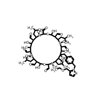 CCOCc1ccnn1Cc1ccc(CC2(O)C(C)C(C=O)N(C)C(CC(C)C)C(C=O)C(O)CC(C=O)N(C)C(CC(C)C)C(C=O)C(O)C(C)C(C=O)N(C)C(CC(C)C)C(C=O)C(O)CC(C=O)N(C)C(CC(C)C)C2C=O)cc1